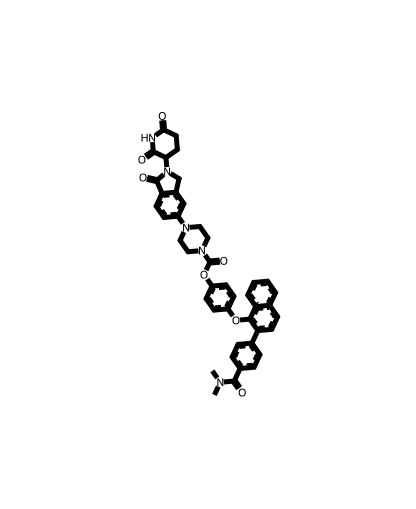 CN(C)C(=O)c1ccc(-c2ccc3ccccc3c2Oc2ccc(OC(=O)N3CCN(c4ccc5c(c4)CN(C4CCC(=O)NC4=O)C5=O)CC3)cc2)cc1